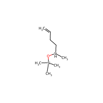 C=CCC[SiH](C)O[Si](C)(C)C